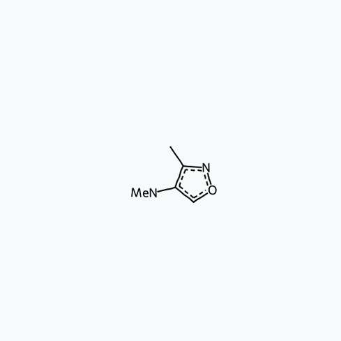 CNc1conc1C